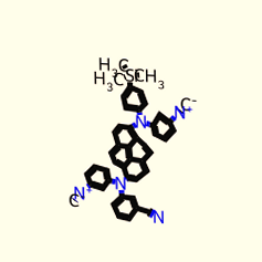 [C-]#[N+]c1cccc(N(c2ccc([Si](C)(C)C)cc2)c2ccc3ccc4c(N(c5cccc(C#N)c5)c5cccc([N+]#[C-])c5)ccc5ccc2c3c54)c1